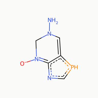 NN1C=c2[pH]cnc2=[N+]([O-])C1